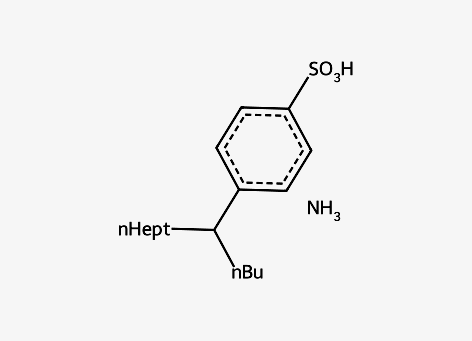 CCCCCCCC(CCCC)c1ccc(S(=O)(=O)O)cc1.N